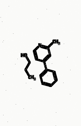 CCCO.Cc1cc(-c2ccccc2)ccn1